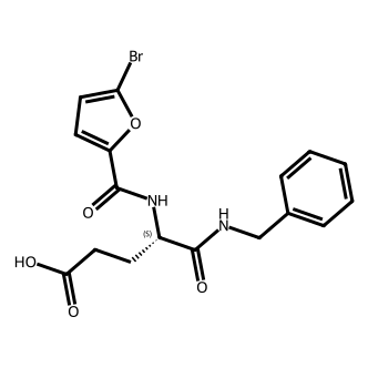 O=C(O)CC[C@H](NC(=O)c1ccc(Br)o1)C(=O)NCc1ccccc1